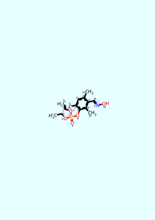 CCOP(=O)(OCC)Oc1c(C)cc(C)c(/C=N/O)c1C